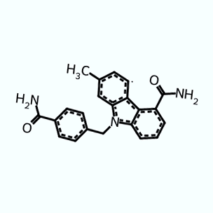 Cc1c[c]c2c3c(C(N)=O)cccc3n(Cc3ccc(C(N)=O)cc3)c2c1